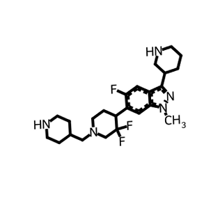 Cn1nc(C2CCCNC2)c2cc(F)c(C3CCN(CC4CCNCC4)CC3(F)F)cc21